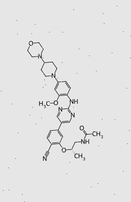 COc1cc(N2CCC(N3CCOCC3)CC2)ccc1Nc1ncc(-c2ccc(C#N)c(O[C@@H](C)CNC(C)=O)c2)cn1